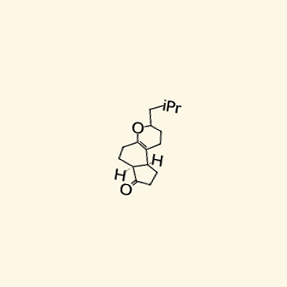 CC(C)CC1CCC2=C(CC[C@@H]3C(=O)CC[C@H]23)O1